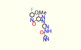 COc1cc(N(C)C(=O)c2cc(C)c3ncn(-c4ccc(NC(=O)c5cnn(C)c5)nc4)c3c2)ccc1F